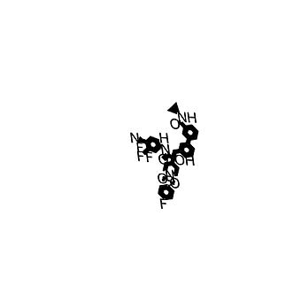 N#Cc1ccc(NC(=O)C(O)(Cc2cccc(-c3cccc(C(=O)NC4CC4)c3)c2)C2CCN(S(=O)(=O)c3ccc(F)cc3)CC2)cc1C(F)(F)F